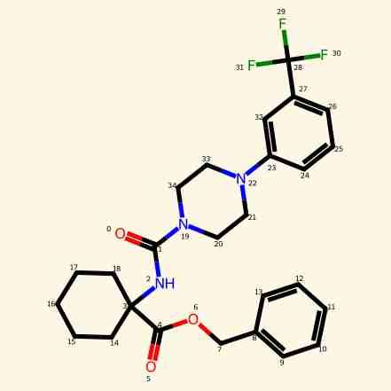 O=C(NC1(C(=O)OCc2ccccc2)CCCCC1)N1CCN(c2cccc(C(F)(F)F)c2)CC1